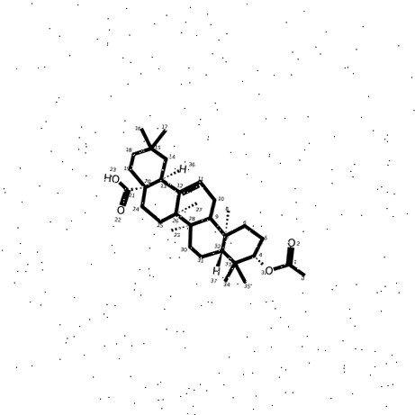 CC(=O)O[C@H]1CC[C@]2(C)C3CC=C4[C@@H]5CC(C)(C)CC[C@]5(C(=O)O)CC[C@]4(C)[C@]3(C)CC[C@H]2C1(C)C